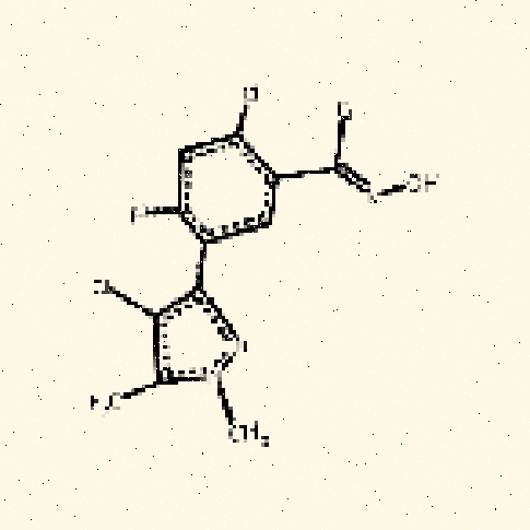 Cn1nc(-c2cc(C(Cl)=NO)c(Cl)cc2F)c(Cl)c1C(F)(F)F